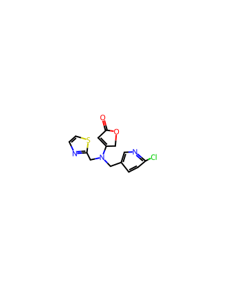 O=C1C=C(N(Cc2ccc(Cl)nc2)Cc2nccs2)CO1